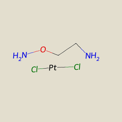 NCCON.[Cl][Pt][Cl]